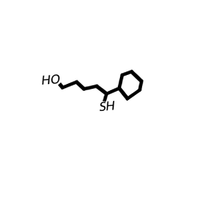 OCCCCC(S)C1CCCCC1